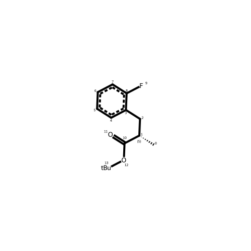 C[C@@H](Cc1ccccc1F)C(=O)OC(C)(C)C